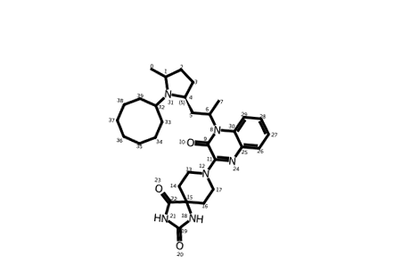 CC1CC[C@@H](CC(C)n2c(=O)c(N3CCC4(CC3)NC(=O)NC4=O)nc3ccccc32)N1C1CCCCCCC1